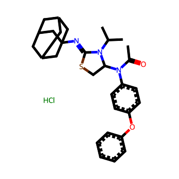 CC(=O)N(c1ccc(Oc2ccccc2)cc1)C1CSC(=NC23CC4CC(CC(C4)C2)C3)N1C(C)C.Cl